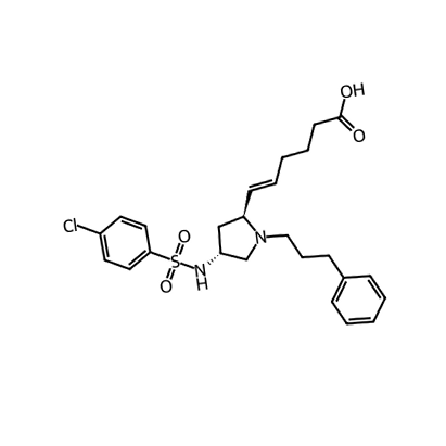 O=C(O)CCCC=C[C@@H]1C[C@@H](NS(=O)(=O)c2ccc(Cl)cc2)CN1CCCc1ccccc1